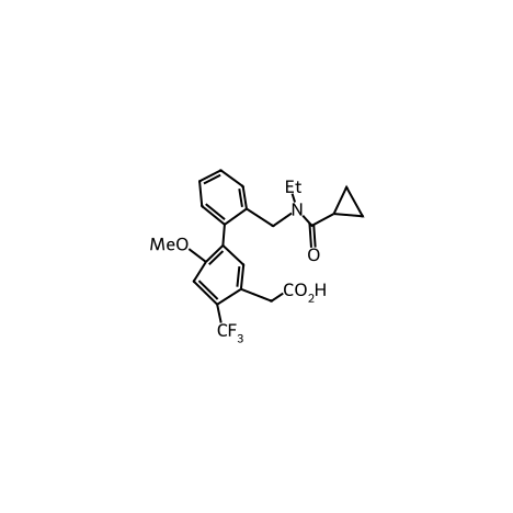 CCN(Cc1ccccc1-c1cc(CC(=O)O)c(C(F)(F)F)cc1OC)C(=O)C1CC1